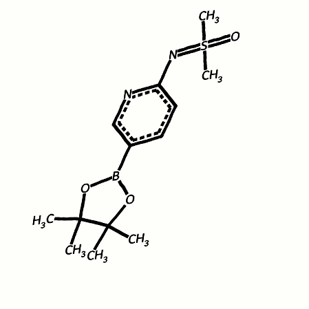 CC1(C)OB(c2ccc(N=S(C)(C)=O)nc2)OC1(C)C